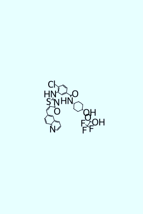 O=C(O)C(F)(F)F.O=C1N=C(Nc2cc(C(=O)N[C@H]3CC[C@H](O)CC3)ccc2Cl)SC1=Cc1ccc2ncccc2c1